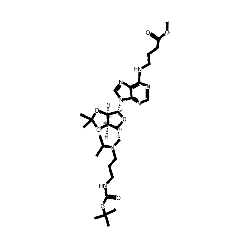 COC(=O)CCCNc1ncnc2c1ncn2[C@@H]1O[C@H](CN(CCCNC(=O)OC(C)(C)C)C(C)C)[C@H]2OC(C)(C)O[C@H]21